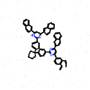 C=Cc1ccc(-c2cc(-c3ccc4ccccc4c3)nc(-c3ccc(C4(c5ccc(C6N=C(c7ccc8ccccc8c7)C=C(c7ccc8ccccc8c7)N6)cc5)CCCCC4)cc3)n2)cc1/C=C\C